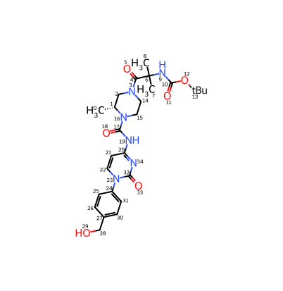 C[C@@H]1CN(C(=O)C(C)(C)NC(=O)OC(C)(C)C)CCN1C(=O)Nc1ccn(-c2ccc(CO)cc2)c(=O)n1